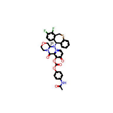 CC(=O)Nc1ccc(OC(=O)Oc2c3n(ccc2=O)N([C@@H]2c4ccccc4SCc4c2ccc(F)c4F)[C@@H]2COCCN2C3=O)cc1